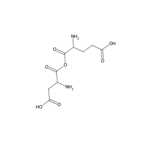 NC(CCC(=O)O)C(=O)OC(=O)C(N)CC(=O)O